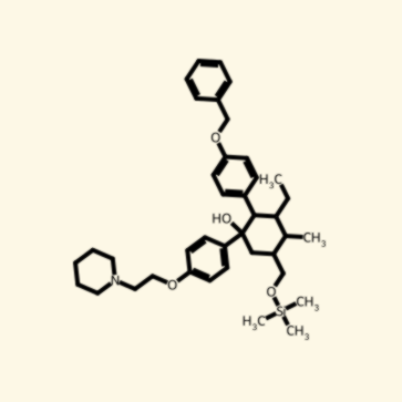 CCC1C(C)C(CO[Si](C)(C)C)CC(O)(c2ccc(OCCN3CCCCC3)cc2)C1c1ccc(OCc2ccccc2)cc1